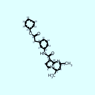 Cc1cc(C)n2ccc(C(=O)Nc3cccc(CC(=O)Oc4ccccc4)c3)c2n1